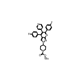 CC(C)(C)OC(=O)N1CCC(n2cc3c(-c4ccc(F)cc4)c(-c4ccncc4)c(-c4ccc(F)cc4)nc3n2)CC1